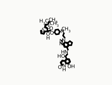 CN(CCCn1nnc2cc(CNC[C@H](O)c3ccc(O)c4[nH]c(=O)ccc34)c3c(c21)CCC3)[C@H]1CC[C@H](OC(=O)[C@](O)(c2cccs2)c2ccc(C(C)(C)C)s2)CC1